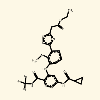 [2H]C([2H])([2H])NC(=O)c1nnc(NC(=O)C2CC2)cc1Nc1cccc(-c2noc(CC(=O)OCC)n2)c1OC